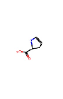 O=C(O)C1CC=C[N]1